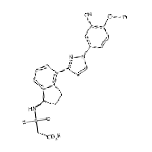 CC(C)Oc1ccc(-n2ccc(-c3cccc4c3CC[C@H]4NS(=O)(=O)CC(=O)O)n2)cc1C#N